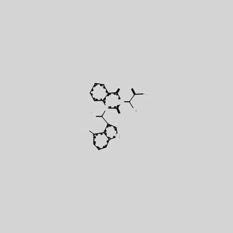 CCCC(C(N)=O)n1c(=O)c2ccccc2n(C(C)c2c[nH]c3cccc(C)c23)c1=O